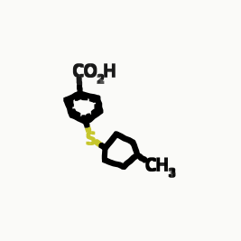 CC1CCC(Sc2ccc(C(=O)O)cc2)CC1